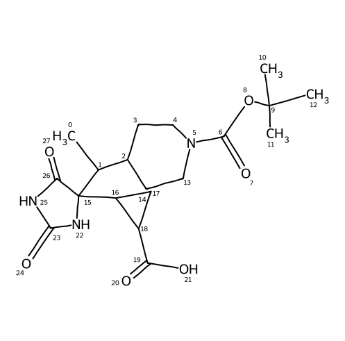 CC(C1CCN(C(=O)OC(C)(C)C)CC1)C1(C2CC2C(=O)O)NC(=O)NC1=O